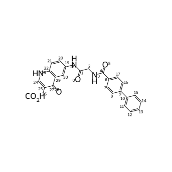 O=C(CNC(=O)c1ccc(-c2ccccc2)cc1)Nc1ccc2[nH]cc(C(=O)O)c(=O)c2c1